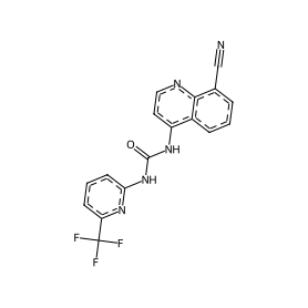 N#Cc1cccc2c(NC(=O)Nc3cccc(C(F)(F)F)n3)ccnc12